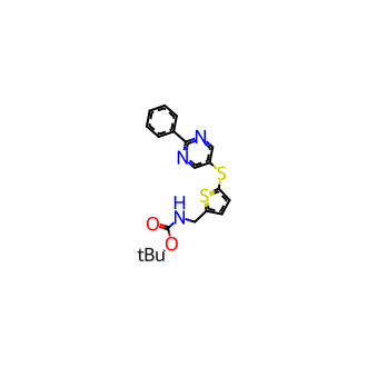 CC(C)(C)OC(=O)NCc1ccc(Sc2cnc(-c3ccccc3)nc2)s1